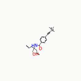 C=CCC(CO)(CC=C)NC(=O)c1ccc(C#C[Si](C)(C)C)cc1